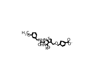 COc1cccc(CNC(=O)c2nc3scc(COCc4ccc(C(=O)[O-])cc4)c3c(=O)[nH]2)c1.[K+]